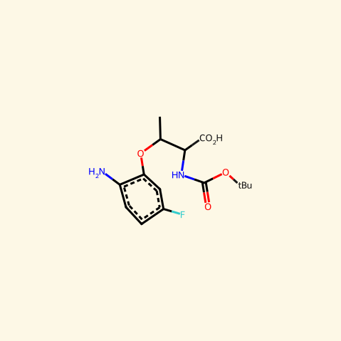 CC(Oc1cc(F)ccc1N)C(NC(=O)OC(C)(C)C)C(=O)O